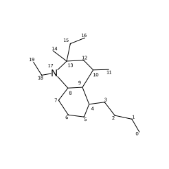 CCCCC1CCCC2C1C(C)CC(C)(CC)N2CC